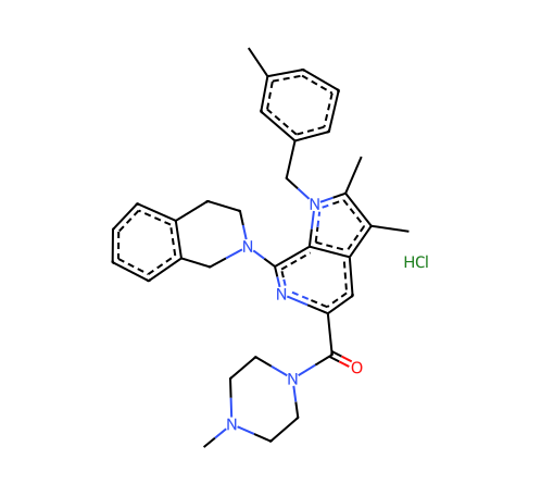 Cc1cccc(Cn2c(C)c(C)c3cc(C(=O)N4CCN(C)CC4)nc(N4CCc5ccccc5C4)c32)c1.Cl